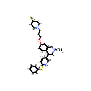 CN1Cc2cc(OCCCN3CCC(F)CC3)ccc2C(c2ccc(Sc3ccccc3)nc2)C1